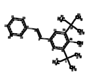 CC(C)(C)c1cc(C=Cc2cccnc2)cc(C(C)(C)C)c1O